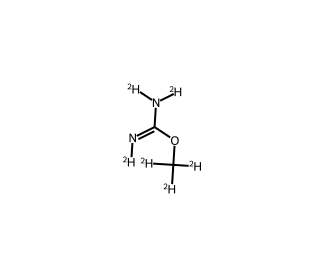 [2H]N=C(OC([2H])([2H])[2H])N([2H])[2H]